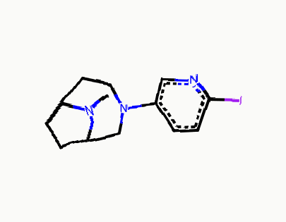 CN1C2CCC1CN(c1ccc(I)nc1)CC2